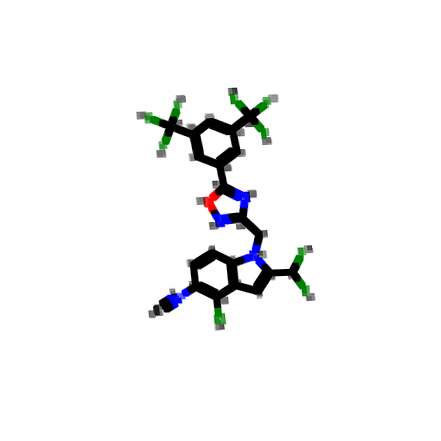 [C-]#[N+]c1ccc2c(cc(C(F)F)n2Cc2noc(-c3cc(C(F)(F)F)cc(C(F)(F)F)c3)n2)c1Cl